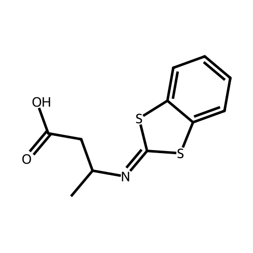 CC(CC(=O)O)N=c1sc2ccccc2s1